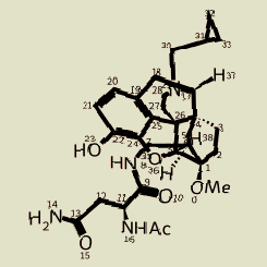 CO[C@]12CC[C@@]3(C[C@@H]1CNC(=O)[C@H](CC(N)=O)NC(C)=O)[C@H]1Cc4ccc(O)c5c4[C@@]3(CCN1CC1CC1)[C@H]2O5